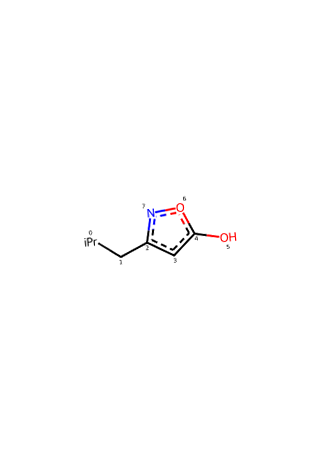 CC(C)Cc1cc(O)on1